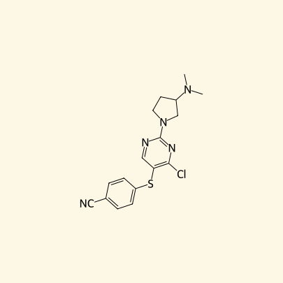 CN(C)C1CCN(c2ncc(Sc3ccc(C#N)cc3)c(Cl)n2)C1